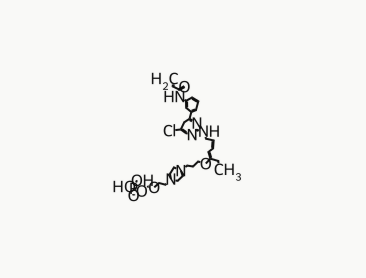 C=CC(=O)Nc1cccc(C2=NC(NC/C=C\C=C(/CC)OCCCN3CCN(CCOCOP(=O)(O)O)CC3)=NC=C(Cl)C2)c1